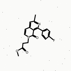 COC(=O)CCn1ccc2cc(C)nc(-c3ccc(F)cc3)c2c1=O